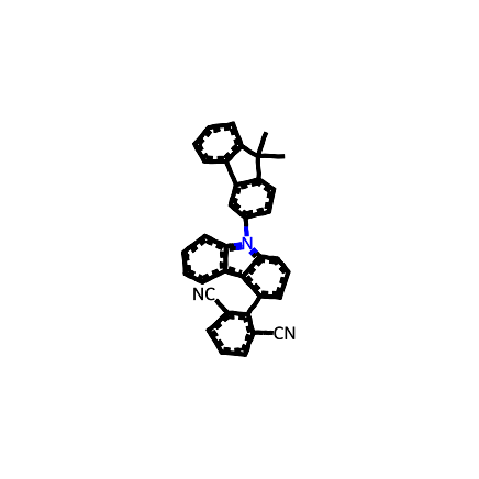 CC1(C)c2ccccc2-c2cc(-n3c4ccccc4c4c(-c5c(C#N)cccc5C#N)cccc43)ccc21